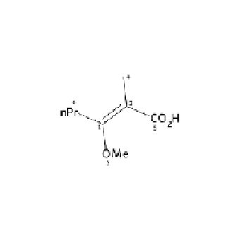 CCCC(OC)=C(C)C(=O)O